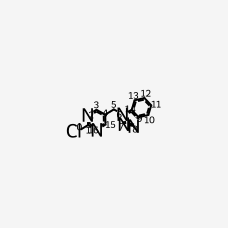 Clc1ncc(Cn2nnc3ccccc32)cn1